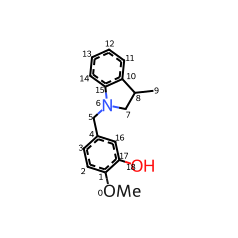 COc1ccc(CN2CC(C)c3ccccc32)cc1O